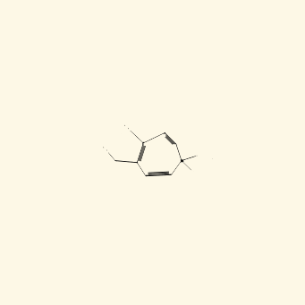 CC1(C)C=CC(N)=C(CN)C=C1